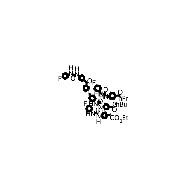 CCCC(=O)c1ccc(NC(=O)Nc2ccc(F)cc2)cc1.CCCCOC(=O)c1ccc(NC(=O)Nc2ccc(F)cc2)cc1.CCOC(=O)Cc1ccc(NC(=O)Nc2ccc(F)cc2)cc1.O=C(Nc1ccc(F)cc1)Nc1ccc(C(=O)c2ccccc2)cc1